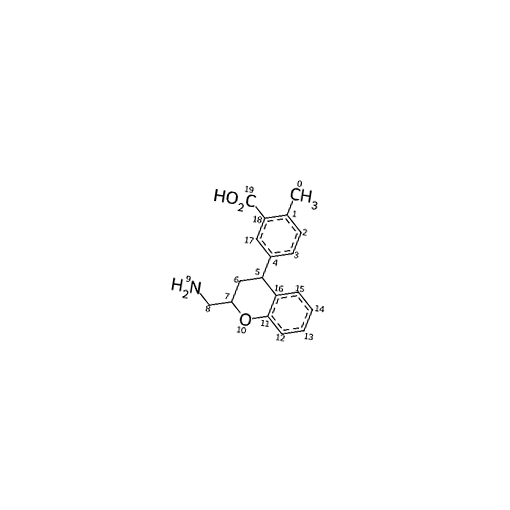 Cc1ccc(C2CC(CN)Oc3ccccc32)cc1C(=O)O